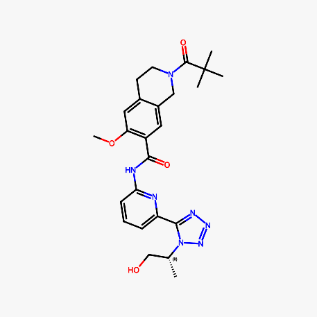 COc1cc2c(cc1C(=O)Nc1cccc(-c3nnnn3[C@H](C)CO)n1)CN(C(=O)C(C)(C)C)CC2